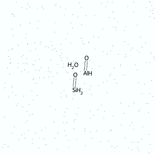 O.O=[SiH2].[O]=[AlH]